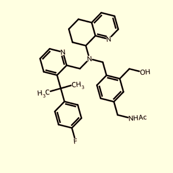 CC(=O)NCc1ccc(CN(Cc2ncccc2C(C)(C)c2ccc(F)cc2)C2CCCc3cccnc32)c(CO)c1